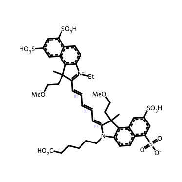 CC[N+]1=C(/C=C/C=C/C=C2/N(CCCCCC(=O)O)c3ccc4c(S(=O)(=O)[O-])cc(S(=O)(=O)O)cc4c3C2(C)CCOC)C(C)(CCOC)c2c1ccc1c(S(=O)(=O)O)cc(S(=O)(=O)O)cc21